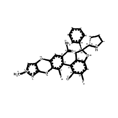 Cn1cc2c(n1)Oc1c(cc(C(N)=O)c(-c3c(Cl)c(F)cc4c3C[C@](c3ccccc3)([C@@H]3CCCN3)O4)c1F)O2